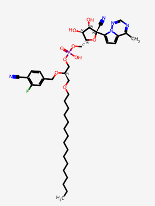 CCCCCCCCCCCCCCCCOC[C@H](COP(=O)(O)OC[C@H]1O[C@@](C#N)(c2ccc3c(C)ncnn23)[C@H](O)[C@@H]1O)OCc1ccc(C#N)c(F)c1